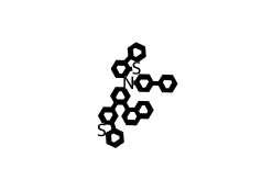 c1ccc(-c2ccc(N(c3ccc(-c4ccc5sc6ccccc6c5c4)c(-c4cccc5ccccc45)c3)c3cccc4c3sc3ccccc34)cc2)cc1